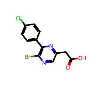 O=C(O)Cc1cnc(Br)c(-c2ccc(Cl)cc2)n1